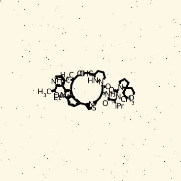 CCn1c(-c2cccnc2[C@H](C)OC)c2c3cc(ccc31)-c1csc(n1)C[C@H](NC(=O)[C@H](C(C)C)N(C)C(=O)N1CCCC13CCOCC3)C(=O)N1CCC[C@](C=O)(COCC(C)(C)C2)N1